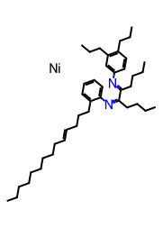 CCCCCCCCCC=CCCCc1ccccc1N=C(CCCC)C(CCCC)=Nc1ccc(CCC)c(CCC)c1.[Ni]